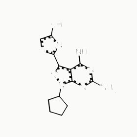 Cc1coc(-c2nn(C3CCCC3)c3nc(N)nc(N)c23)n1